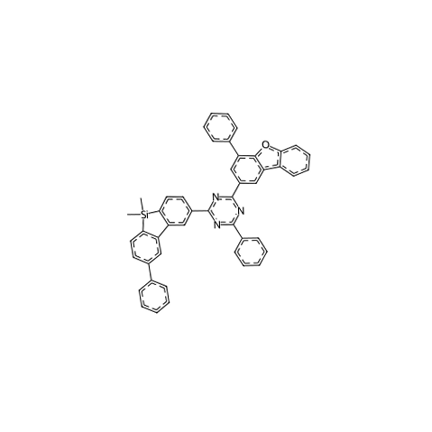 C[Si]1(C)c2ccc(-c3ccccc3)cc2-c2cc(-c3nc(-c4ccccc4)nc(-c4cc(-c5ccccc5)c5oc6ccccc6c5c4)n3)ccc21